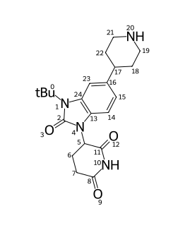 CC(C)(C)n1c(=O)n(C2CCC(=O)NC2=O)c2ccc(C3CCNCC3)cc21